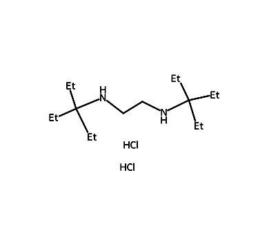 CCC(CC)(CC)NCCNC(CC)(CC)CC.Cl.Cl